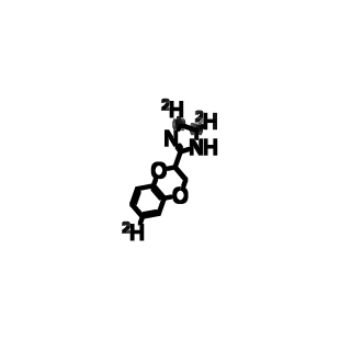 [2H]c1ccc2c(c1)OCC(C1=N[C@H]([2H])[C@@H]([2H])N1)O2